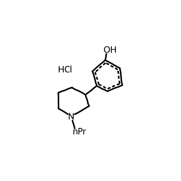 CCCN1CCCC(c2cccc(O)c2)C1.Cl